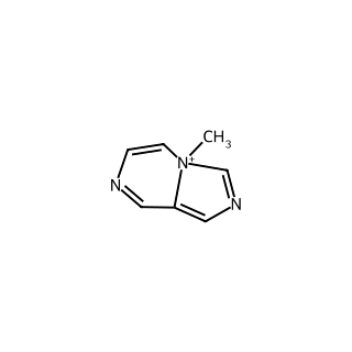 C[N+]12C=CN=CC1=CN=C2